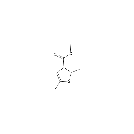 COC(=O)C1C=C(C)SC1C